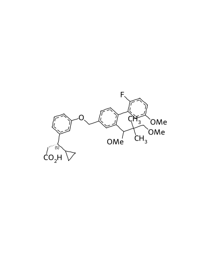 COCC(C)(C)C(OC)c1cc(COc2cccc([C@@H](CC(=O)O)C3CC3)c2)ccc1-c1cc(OC)ccc1F